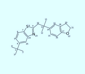 CC(C)(C)c1ccc2sc(CC(C)(C)c3ccc4c(c3)CCO4)nc2c1